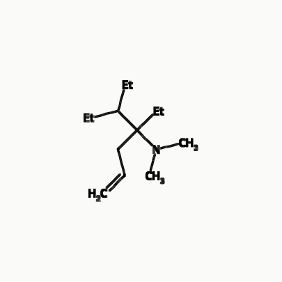 C=CCC(CC)(C(CC)CC)N(C)C